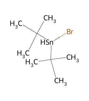 C[C](C)(C)[SnH]([Br])[C](C)(C)C